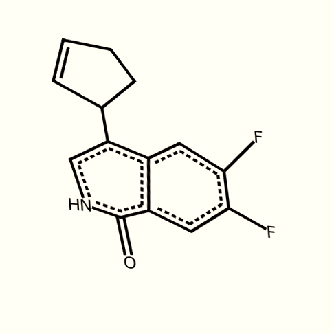 O=c1[nH]cc(C2C=CCC2)c2cc(F)c(F)cc12